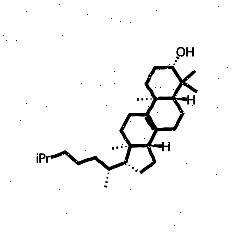 CC(C)CCC[C@@H](C)[C@H]1CC[C@H]2C3=C(CC[C@]12C)[C@@]1(C)CC[C@H](O)C(C)(C)[C@@H]1CC3